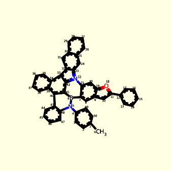 Cc1ccc(N2B3c4cc5cc(-c6ccccc6)oc5cc4-n4c5cc6ccccc6cc5c5c6ccccc6c(c3c54)-c3ccccc32)cc1